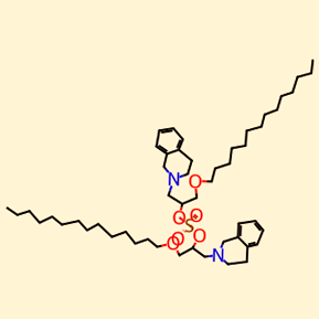 CCCCCCCCCCCCCCOCC(CN1CCc2ccccc2C1)OS(=O)(=O)OC(COCCCCCCCCCCCCCC)CN1CCc2ccccc2C1